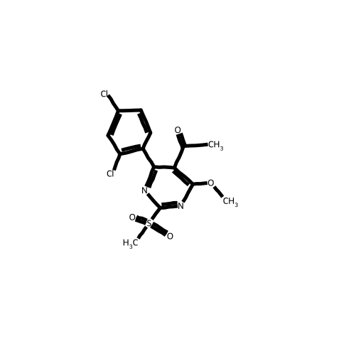 COc1nc(S(C)(=O)=O)nc(-c2ccc(Cl)cc2Cl)c1C(C)=O